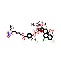 Cc1cc(C(=O)OCCCCC(C)O[N+](=O)[O-])ccc1OC(=O)OCC(=O)[C@@]12OC(C)(C)O[C@@H]1CC1C3C[C@H](F)C4=CC(=O)C=C[C@]4(C)[C@@]3(F)[C@@H](O)C[C@@]12C